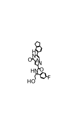 O=C(N[C@H](CCO)c1ccc(F)cc1)c1cc2c(=O)[nH]c(-c3ccc4c(c3)CCC4)cn2n1